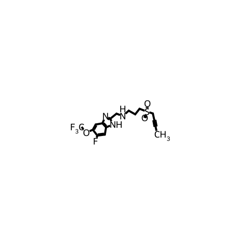 CC#CCS(=O)(=O)CCCNCc1nc2cc(OC(F)(F)F)c(F)cc2[nH]1